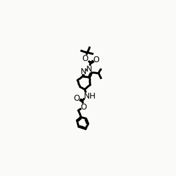 CC(C)c1c2c(nn1C(=O)OC(C)(C)C)CCC(NC(=O)OCc1ccccc1)C2